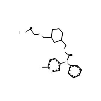 O=C(O)COCC1CCCC(COC(=O)N(c2ccccc2)c2ccc(F)nc2)C1